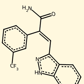 NC(=O)C(=Cc1n[nH]c2ncccc12)c1cccc(C(F)(F)F)c1